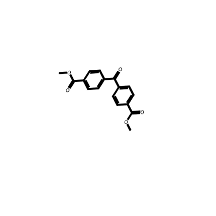 COC(=O)c1ccc(C(=O)c2ccc(C(=O)OC)cc2)cc1